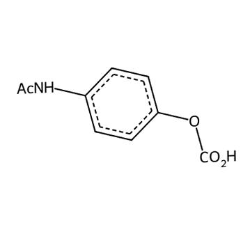 CC(=O)Nc1ccc(OC(=O)O)cc1